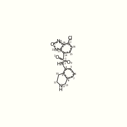 O=S(=O)(Nc1cccc2c1CCNC2)c1ccc(Cl)c2nonc12